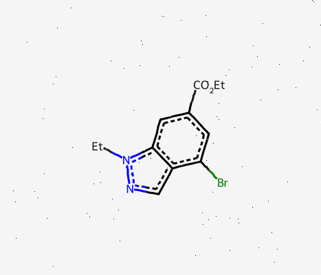 CCOC(=O)c1cc(Br)c2cnn(CC)c2c1